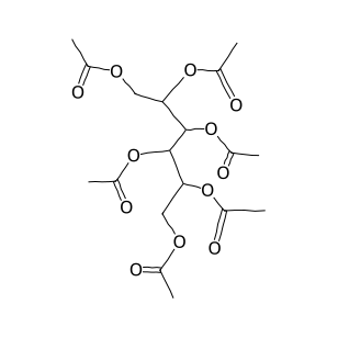 CC(=O)OCC(OC(C)=O)C(OC(C)=O)C(OC(C)=O)C(COC(C)=O)OC(C)=O